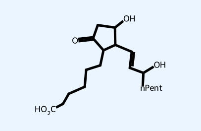 CCCCCC(O)C=CC1C(O)CC(=O)C1CCCCCC(=O)O